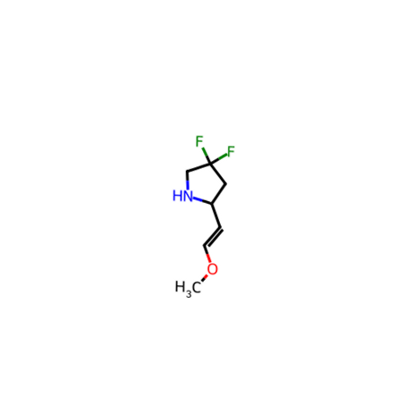 COC=CC1CC(F)(F)CN1